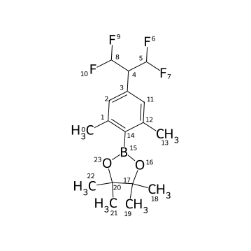 Cc1cc(C(C(F)F)C(F)F)cc(C)c1B1OC(C)(C)C(C)(C)O1